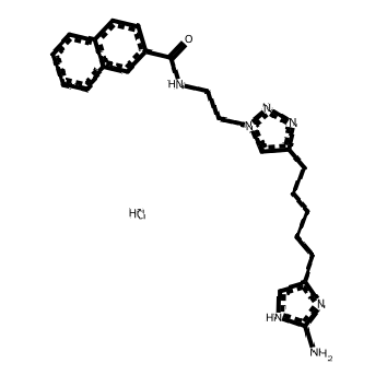 Cl.Nc1nc(CCCCCc2cn(CCNC(=O)c3ccc4ccccc4c3)nn2)c[nH]1